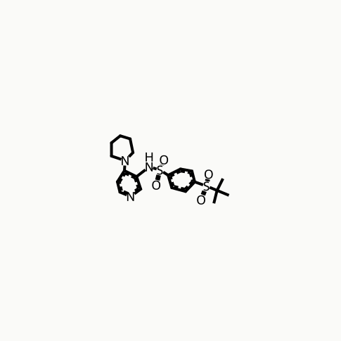 CC(C)(C)S(=O)(=O)c1ccc(S(=O)(=O)Nc2cnccc2N2CCCCC2)cc1